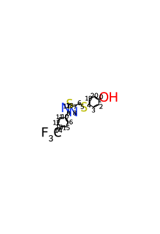 Oc1ccc(SCc2nc(-c3ccc(C(F)(F)F)cc3)ns2)cc1